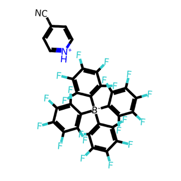 Fc1c(F)c(F)c([B-](c2c(F)c(F)c(F)c(F)c2F)(c2c(F)c(F)c(F)c(F)c2F)c2c(F)c(F)c(F)c(F)c2F)c(F)c1F.N#Cc1cc[nH+]cc1